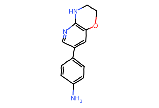 Nc1ccc(-c2cnc3c(c2)OCCN3)cc1